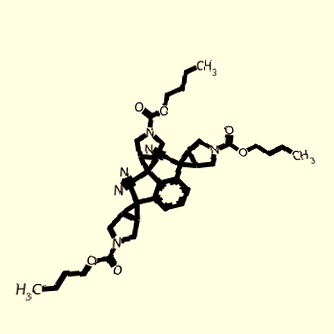 CCCCOC(=O)N1CC2C(C1)C2(C#N)c1cccc(C2(C#N)C3CN(C(=O)OCCCC)CC32)c1C1(C#N)C2CN(C(=O)OCCCC)CC21